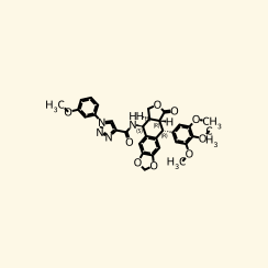 COc1cccc(-n2cc(C(=O)N[C@@H]3c4cc5c(cc4[C@@H](c4cc(OC)c(OC)c(OC)c4)[C@H]4C(=O)OC[C@@H]43)OCO5)nn2)c1